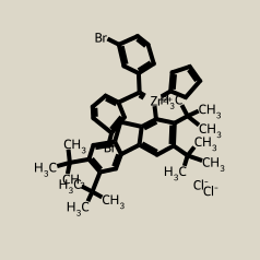 CC(C)(C)c1cc2c(cc1C(C)(C)C)-c1cc(C(C)(C)C)c(C(C)(C)C)[c]([Zr+2]([C]3=CC=CC3)=[C](c3cccc(Br)c3)c3cccc(Br)c3)c1C2.[Cl-].[Cl-]